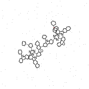 c1ccc(-c2ccc(-c3nc(-c4ccc5c6ccc(-c7c8ccccc8cc8c7oc7ccc(-n9c%10ccccc%10c%10cc%11ccccc%11cc%109)c(-c9nc(-c%10cccc(-c%11ccccc%11)c%10)nc(-c%10ccc%11c%12ccccc%12n(-c%12ccccc%12)c%11c%10)n9)c78)cc6n(-c6ccccc6)c5c4)nc(-c4c(-n5c6cc7ccccc7cc6c6c7ccccc7ccc65)ccc5oc6ccccc6c45)n3)cc2)cc1